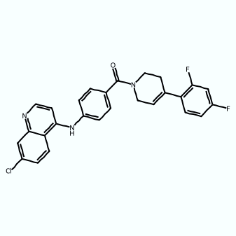 O=C(c1ccc(Nc2ccnc3cc(Cl)ccc23)cc1)N1CC=C(c2ccc(F)cc2F)CC1